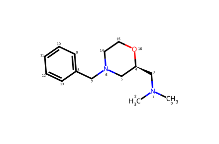 CN(C)C[C@H]1CN(Cc2ccccc2)CCO1